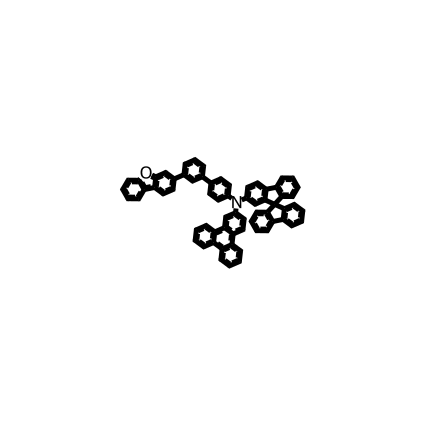 c1cc(-c2ccc(N(c3ccc4c(c3)C3(c5ccccc5-c5ccccc53)c3ccccc3-4)c3ccc4c5ccccc5c5ccccc5c4c3)cc2)cc(-c2ccc3c(c2)oc2ccccc23)c1